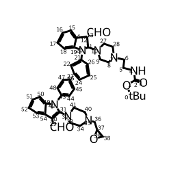 CC(C)(C)OC(=O)NCCN1CCN(C2C(C=O)c3ccccc3N2c2ccccc2)CC1.O=Cc1c(N2CCN(CC3CO3)CC2)n(-c2ccccc2)c2ccccc12